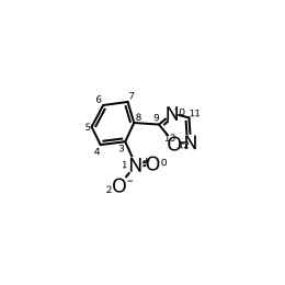 O=[N+]([O-])c1ccccc1-c1ncno1